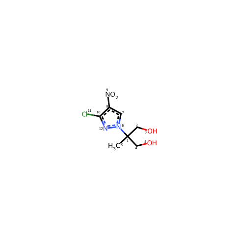 CC(CO)(CO)n1cc([N+](=O)[O-])c(Cl)n1